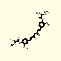 COc1cc(/C=C/C(=O)CC(=O)/C=C/c2ccc(OC(=O)C(C)NN)c(OC)c2)ccc1OC(=O)C(C)NN